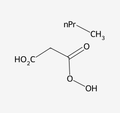 CCCC.O=C(O)CC(=O)OO